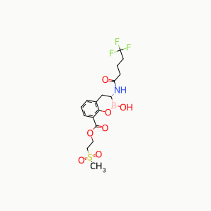 CS(=O)(=O)CCOC(=O)c1cccc2c1OB(O)[C@@H](NC(=O)CCCC(F)(F)F)C2